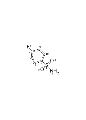 NS(=O)(=O)c1[c]cc(F)cc1